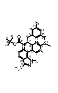 CSc1ncc(-c2cccc3c(N)nn(C)c23)c([C@H](Cc2cc(F)cc(F)c2)NC(=O)OC(C)(C)C)n1